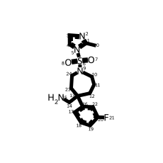 Cc1nccn1S(=O)(=O)N1CCCC(CN)(c2cccc(F)c2)CC1